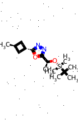 C[C@H](O[Si](C)(C)C(C)(C)C)c1nnc([C@H]2C[C@H](C)C2)o1